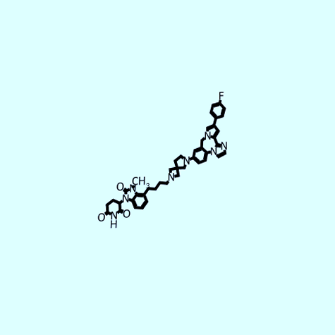 Cn1c(=O)n(C2CCC(=O)NC2=O)c2cccc(CCCCN3CC4(CCN(c5ccc6c(c5)Cn5cc(-c7ccc(F)cc7)cc5-c5nccn5-6)C4)C3)c21